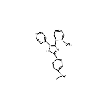 COc1ccccc1-c1nc(-c2ccc([S+](C)[O-])cc2)[nH]c1-c1ccncc1